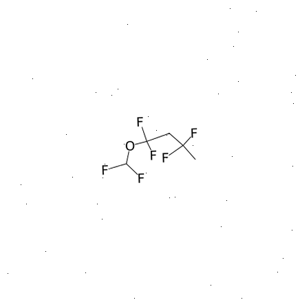 CC(F)(F)CC(F)(F)OC(F)F